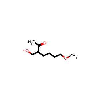 COCCCCC(CO)C(C)=O